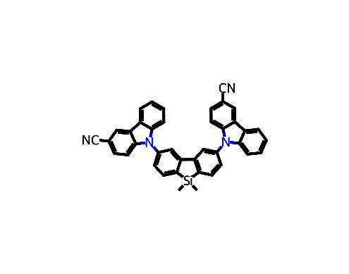 C[Si]1(C)c2ccc(-n3c4ccccc4c4cc(C#N)ccc43)cc2-c2cc(-n3c4ccccc4c4cc(C#N)ccc43)ccc21